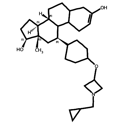 C[C@]12C[C@H](C3CCC(OC4CN(CC5CC5)C4)CC3)C3C4CC=C(O)CC4CC[C@H]3[C@@H]1CC[C@@H]2O